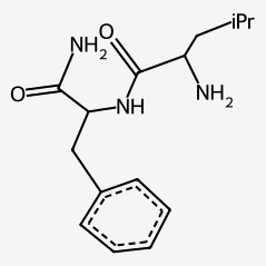 CC(C)CC(N)C(=O)NC(Cc1ccccc1)C(N)=O